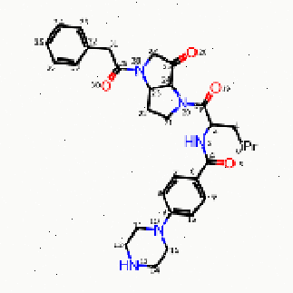 CC(C)CC(NC(=O)c1ccc(N2CCNCC2)cc1)C(=O)N1CCC2C1C(=O)CN2C(=O)Cc1ccccc1